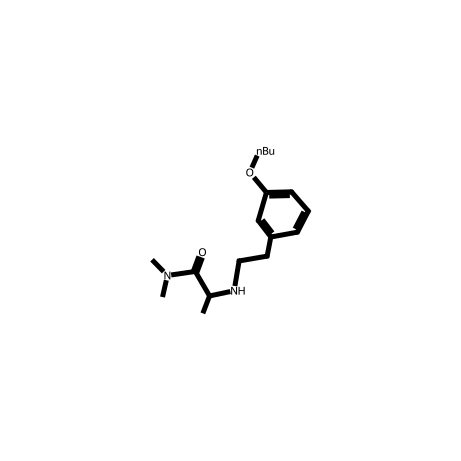 CCCCOc1cccc(CCNC(C)C(=O)N(C)C)c1